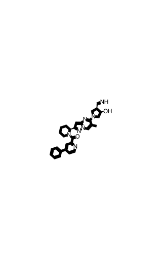 Cc1cn2nc([C@@H]3CCCCN3C(=O)c3cc(-c4ccccc4)ccn3)cc2nc1N1C[C@@H](C=N)[C@@H](O)C1